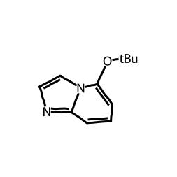 CC(C)(C)Oc1cccc2nccn12